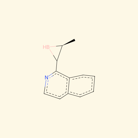 C[C@@H]1BC1c1nccc2ccccc12